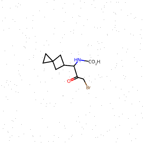 O=C(O)NC(C(=O)CBr)C1CC2(CC2)C1